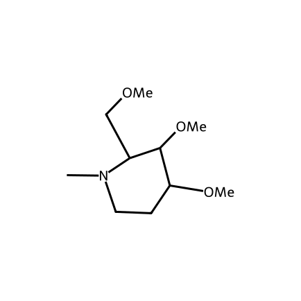 COCC1C(OC)C(OC)CCN1C